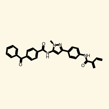 C=CC(=C)C(=O)Nc1ccc(-c2cc(NC(=O)c3ccc(C(=O)c4ccccc4)cc3)n(C)n2)cc1